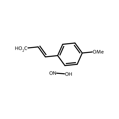 COc1ccc(C=CC(=O)O)cc1.O=NO